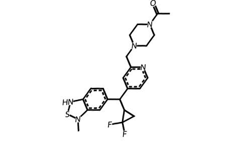 CC(=O)N1CCN(Cc2cc(C(c3ccc4c(c3)N(C)SN4)C3CC3(F)F)ccn2)CC1